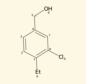 CCc1ccc([CH]O)cc1Cl